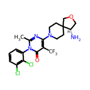 Cc1nc(N2CCC3(CC2)COC[C@@H]3N)c(C(F)(F)F)c(=O)n1-c1cccc(Cl)c1Cl